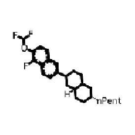 CCCCC[C@@H]1CC[C@@H]2CC(c3ccc4c(F)c(OC(F)F)ccc4c3)CCC2C1